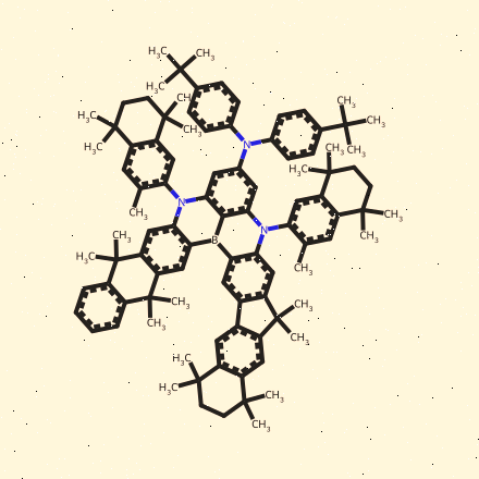 Cc1cc2c(cc1N1c3cc4c(cc3B3c5cc6c(cc5N(c5cc7c(cc5C)C(C)(C)CCC7(C)C)c5cc(N(c7ccc(C(C)(C)C)cc7)c7ccc(C(C)(C)C)cc7)cc1c53)C(C)(C)c1ccccc1C6(C)C)-c1cc3c(cc1C4(C)C)C(C)(C)CCC3(C)C)C(C)(C)CCC2(C)C